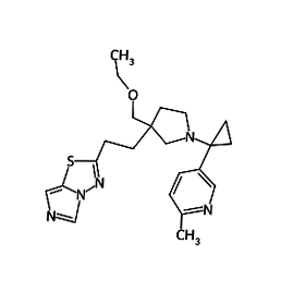 CCOCC1(CCc2nn3cncc3s2)CCN(C2(c3ccc(C)nc3)CC2)C1